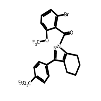 CCOC(=O)c1ccc(-c2nn(C(=O)c3c(Br)cccc3OC(F)(F)F)c3c2CCCC3)cc1